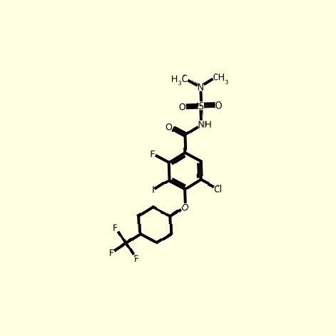 CN(C)S(=O)(=O)NC(=O)c1cc(Cl)c(OC2CCC(C(F)(F)F)CC2)c(I)c1F